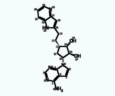 Nc1ncnc2c1ccn2[C@@H]1C[C@H](CCc2cc3ncccc3[nH]2)[C@@H](O)[C@H]1O